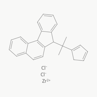 CC(C)(C1=CC=CC1)C1c2ccccc2-c2c1ccc1ccccc21.[Cl-].[Cl-].[Zr+2]